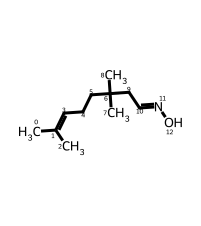 CC(C)=CCCC(C)(C)CC=NO